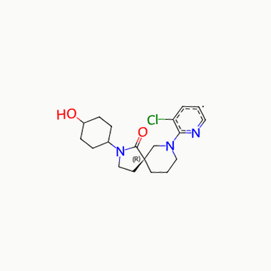 O=C1N(C2CCC(O)CC2)CC[C@@]12CCCN(c1nc[c]cc1Cl)C2